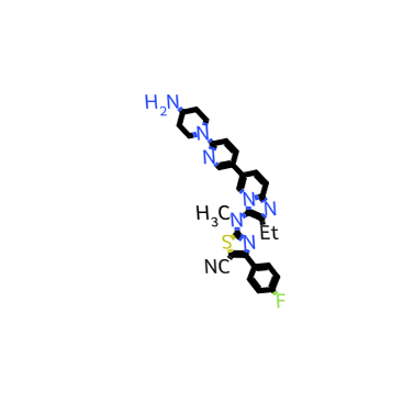 CCc1nc2ccc(-c3ccc(N4CCC(N)CC4)nc3)cn2c1N(C)c1nc(-c2ccc(F)cc2)c(C#N)s1